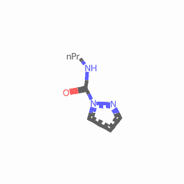 CCCNC(=O)n1cccn1